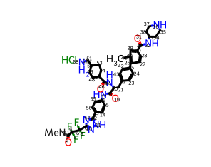 CNC(=O)C(F)(F)C(F)(F)c1n[nH]c(-c2ccc(NC(=O)[C@H](Cc3ccc(-c4ccc(C(=O)NC5CCNCC5)cc4C)cc3)NC(=O)C3CCC(CN)CC3)cc2)n1.Cl